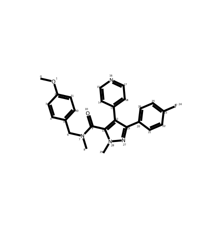 COc1ccc(CN(C)C(=O)c2c(-c3ccncc3)c(-c3ccc(F)cc3)nn2C)cc1